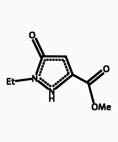 CCn1[nH]c(C(=O)OC)cc1=O